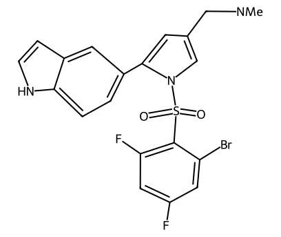 CNCc1cc(-c2ccc3[nH]ccc3c2)n(S(=O)(=O)c2c(F)cc(F)cc2Br)c1